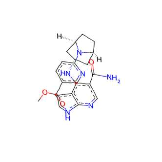 COC(=O)c1ccc(N2[C@@H]3CC[C@H]2C[C@H](Nc2c(C(N)=O)cnc4[nH]ccc24)C3)nc1